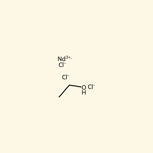 CCO.[Cl-].[Cl-].[Cl-].[Nd+3]